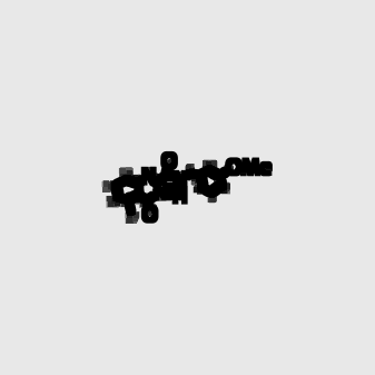 COc1cccc(CNC(=O)c2nc3cccc(C)c3c(=O)[nH]2)c1